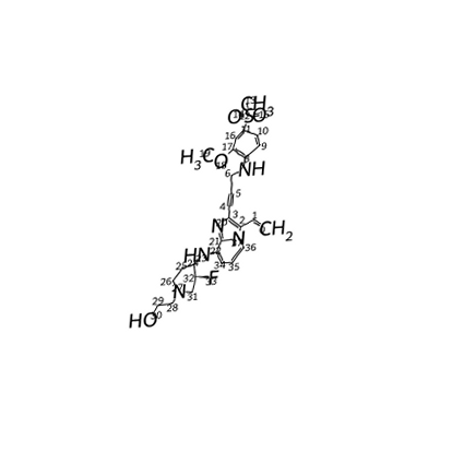 C=Cc1c(C#CCNc2ccc(S(C)(=O)=O)cc2OC)nc2c(N[C@@H]3CCN(CCO)C[C@@H]3F)cccn12